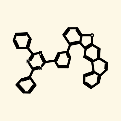 c1ccc(-c2nc(-c3ccccc3)nc(-c3cccc(-c4cccc5oc6cc7ccc8ccccc8c7cc6c45)c3)n2)cc1